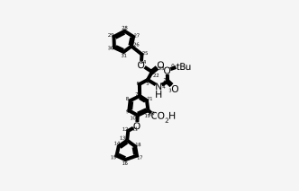 CC(C)(C)OC(=O)NC(Cc1ccc(OCc2ccccc2)c(C(=O)O)c1)C(=O)OCc1ccccc1